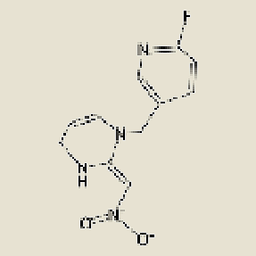 O=[N+]([O-])C=C1NCC=CN1Cc1ccc(F)nc1